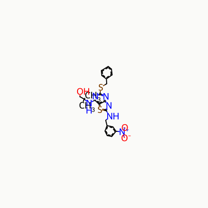 CC(C)(CO)Nc1nc(SCc2ccccc2)nc2nc(NCc3cccc([N+](=O)[O-])c3)sc12